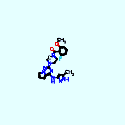 COc1cccc(F)c1C(=O)N1CCN(c2nc(Nc3cc(C)[nH]n3)c3cccn3n2)CC1